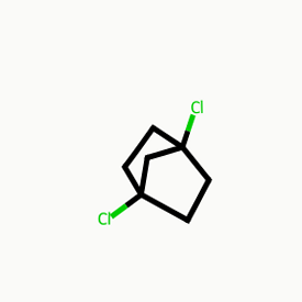 ClC12CCC(Cl)(CC1)C2